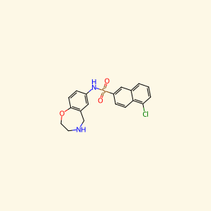 O=S(=O)(Nc1ccc2c(c1)CNCCO2)c1ccc2c(Cl)cccc2c1